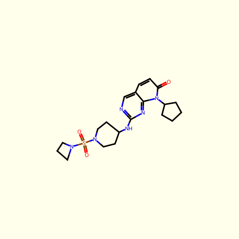 O=c1ccc2cnc(NC3CCN(S(=O)(=O)N4CCC4)CC3)nc2n1C1CCCC1